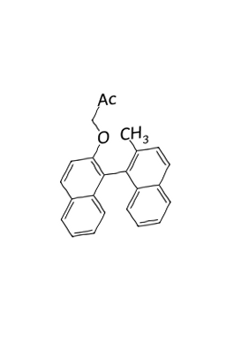 CC(=O)COc1ccc2ccccc2c1-c1c(C)ccc2ccccc12